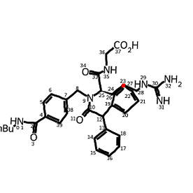 CCCCNC(=O)c1ccc(CN(C(=O)C(c2ccccc2)c2ccccc2)[C@H](CCCNC(=N)N)C(=O)NCC(=O)O)cc1